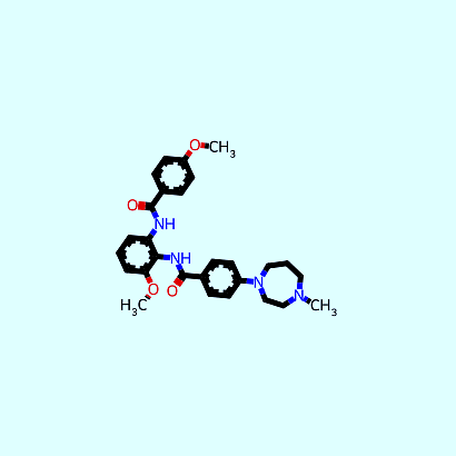 COc1ccc(C(=O)Nc2cccc(OC)c2NC(=O)c2ccc(N3CCCN(C)CC3)cc2)cc1